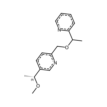 CO[C@H](C)c1ccc(COC(C)c2ccccn2)nc1